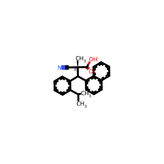 CC(C)c1ccccc1C(c1cccc2ccccc12)[C@](C)(C#N)C(=O)O